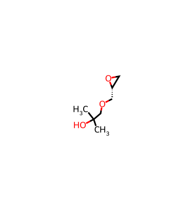 CC(C)(O)COC[C@H]1CO1